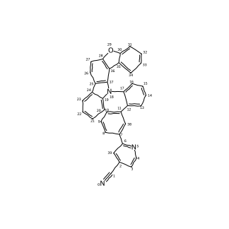 N#Cc1ccnc(-c2cccc(-c3ccccc3-n3c4ccccc4c4ccc5oc6ccccc6c5c43)c2)c1